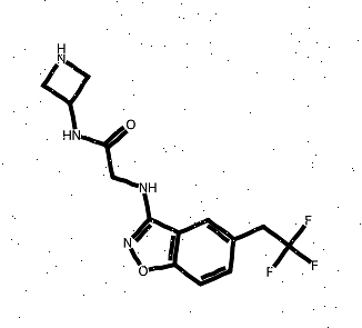 O=C(CNc1noc2ccc(CC(F)(F)F)cc12)NC1CNC1